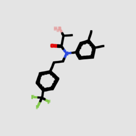 BC(C)C(=O)N(CCc1ccc(C(F)(F)F)cc1)c1ccc(C)c(C)c1